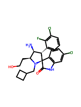 N[C@@H]1[C@H](CCO)N(CC2CCC2)[C@@]2(C(=O)Nc3cc(Cl)ccc32)[C@H]1c1cccc(Cl)c1F